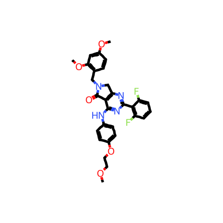 COCCOc1ccc(Nc2nc(-c3c(F)cccc3F)nc3c2C(=O)N(Cc2ccc(OC)cc2OC)C3)cc1